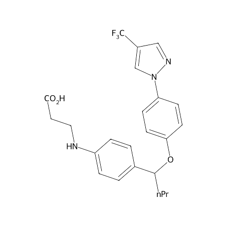 CCCC(Oc1ccc(-n2cc(C(F)(F)F)cn2)cc1)c1ccc(NCCC(=O)O)cc1